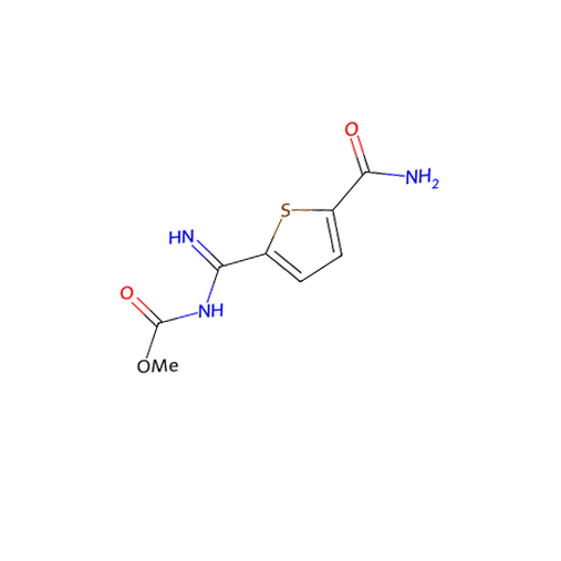 COC(=O)NC(=N)c1ccc(C(N)=O)s1